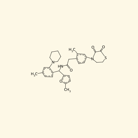 Cc1ccc(C(NC(=O)Cc2ccc(N3CCSC(=O)C3=O)cc2C)c2ccc(C)o2)c(N2CCCCC2)c1